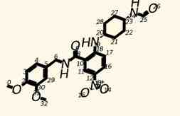 COc1ccc(CNC(=O)c2cc([N+](=O)[O-])ccc2N[C@H]2CC[C@@H](NC=O)CC2)cc1OC